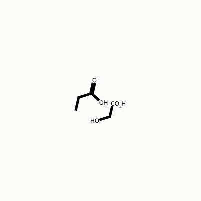 CCC(=O)O.O=C(O)CO